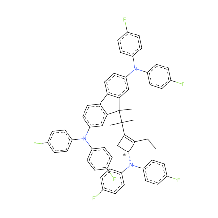 CCC1=C(C(C)(C)C2(C)c3cc(N(c4ccc(F)cc4)c4ccc(F)cc4)ccc3-c3ccc(N(c4ccc(F)cc4)c4ccc(F)cc4)cc32)C[C@H]1N(c1ccc(F)cc1)c1ccc(F)cc1